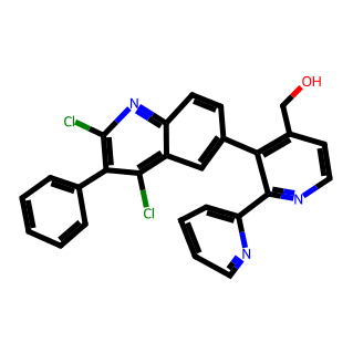 OCc1ccnc(-c2ccccn2)c1-c1ccc2nc(Cl)c(-c3ccccc3)c(Cl)c2c1